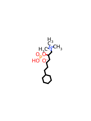 C[N+](C)(C)CC(CCCCC1CCCCC1)OP(=O)([O-])O